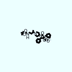 CC(CCNC(=O)OC(C)(C)C)N1CCC(N2C(=O)N(c3ccccc3[N+](=O)[O-])CC2c2ccccc2)CC1